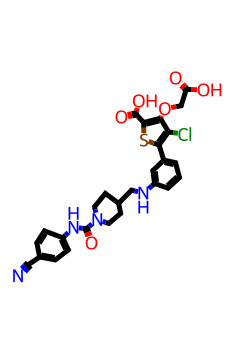 N#Cc1ccc(NC(=O)N2CCC(CNc3cccc(-c4sc(C(=O)O)c(OCC(=O)O)c4Cl)c3)CC2)cc1